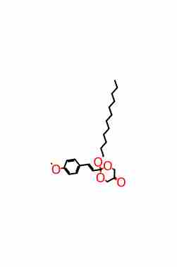 CCCCCCCCCCCCOC1(C=Cc2ccc(OC)cc2)OCC(=O)CO1